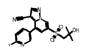 CC(C)(O)CS(=O)(=O)c1cc(-c2ccc(F)nc2)c2c(C#N)cnn2c1